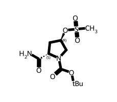 CC(C)(C)OC(=O)N1C[C@H](OS(C)(=O)=O)C[C@H]1C(N)=O